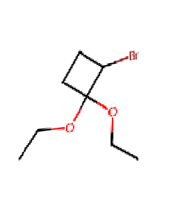 CCOC1(OCC)CCC1Br